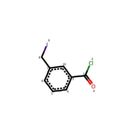 O=C(Cl)c1cccc(CI)c1